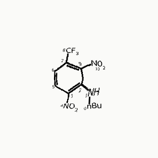 CCCCNc1c([N+](=O)[O-])ccc(C(F)(F)F)c1[N+](=O)[O-]